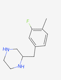 Cc1ccc(CC2CNCCN2)cc1F